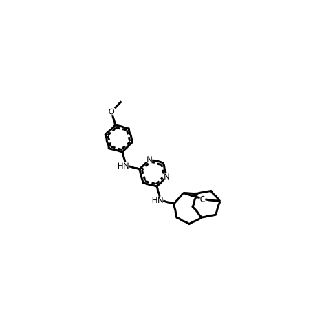 COc1ccc(Nc2cc(NC3CCC4CC5CC(C4)C3C5)ncn2)cc1